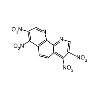 O=[N+]([O-])c1cnc2c(ccc3c([N+](=O)[O-])c([N+](=O)[O-])cnc32)c1[N+](=O)[O-]